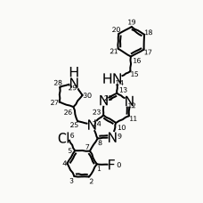 Fc1cccc(Cl)c1-c1nc2cnc(NCc3ccccc3)nc2n1CC1CCNC1